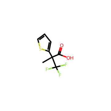 CC(C(=O)O)(c1cccs1)C(F)(F)F